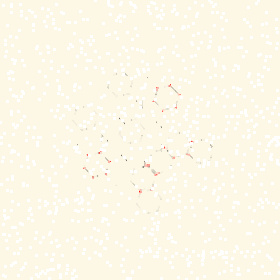 CC1(C)C2=C(CCC=C2)N(c2nc(N3c4ccccc4C(C)(C)c4ccccc43)c(N3c4ccccc4C(C)(C)c4ccccc43)c(-c3nc(-c4ccccc4)cc(-c4ccccc4)n3)c2N2c3ccccc3C(C)(C)c3ccccc32)c2ccccc21